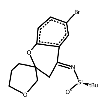 CC(C)(C)[S@@+]([O-])N=C1CC2(CCCOC2)Oc2ccc(Br)cc21